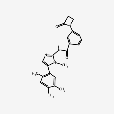 Cc1cc(C)c(-c2cnc(NC(=O)c3cccc(N4CCC4=O)c3)n2C)cc1C